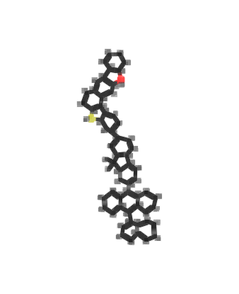 CC1(C)c2cc(C3=CC=C4c5c(ccc6cc7c8c(oc7cc56)CCC=C8)SC4C3)ccc2C2=CC=C(c3c4ccccc4c(-c4cccc5ccccc45)c4ccccc34)CC21